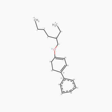 CCCCC(CC)COC1=CC=C(c2ccccc2)CC1